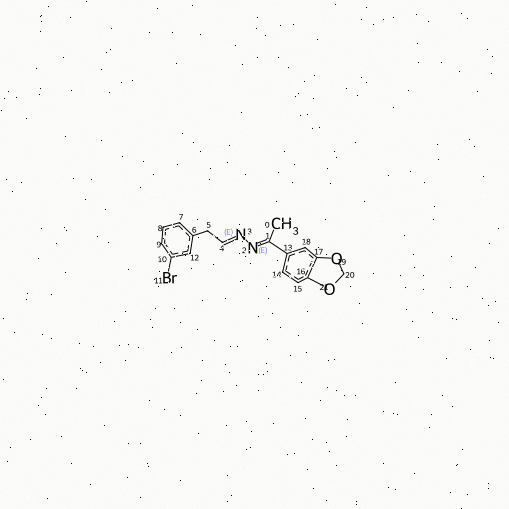 C/C(=N\N=C\Cc1cccc(Br)c1)c1ccc2c(c1)OCO2